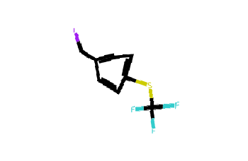 FC(F)(F)Sc1ccc(CI)cc1